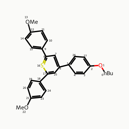 CCCCOc1ccc(-c2cc(-c3ccc(OC)cc3)[s+]c(-c3ccc(OC)cc3)c2)cc1